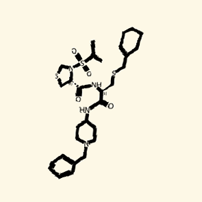 CC(C)S(=O)(=O)N1CSC[C@H]1C(=O)N[C@@H](CSCC1CCCCC1)C(=O)NC1CCN(Cc2ccccc2)CC1